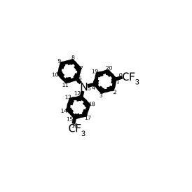 FC(F)(F)c1ccc(N(c2cc[c]cc2)c2ccc(C(F)(F)F)cc2)cc1